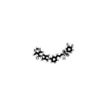 Cc1ncnc(C)c1C(=O)N1CC2CN(c3cccc(CCCNS(=O)(=O)c4ccc(F)c(F)c4)c3)CC2C1